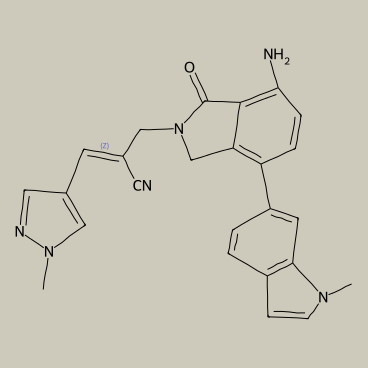 Cn1cc(/C=C(\C#N)CN2Cc3c(-c4ccc5ccn(C)c5c4)ccc(N)c3C2=O)cn1